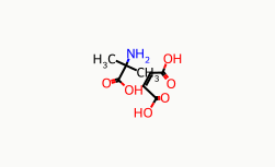 CC(C)(N)C(=O)O.O=C(O)/C=C\C(=O)O